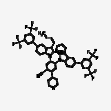 C=C/C=C\c1c(C)n(-c2cc(C#N)c(-c3ccncc3)cc2-n2c3ccccc3c3cc(-c4cc(C(F)(F)F)cc(C(F)(F)F)c4)ccc32)c2ccc(-c3cc(C(F)(F)F)cc(C(F)(F)F)c3)cc12